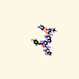 CN1CCC(OC(=O)N2CC(OC(C)(C)C)CC2C(=O)NC(C#N)CC2CCN(C3CNN(C(=O)/C=C/c4ccc(Cl)cc4F)[C@H](C(=O)N[C@H](C#N)C[C@@H]4CCNC4=O)C3)C2=O)CC1